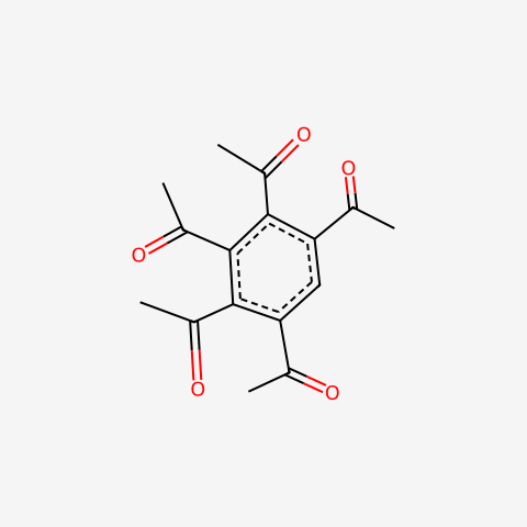 CC(=O)c1cc(C(C)=O)c(C(C)=O)c(C(C)=O)c1C(C)=O